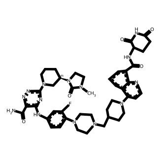 CN1CCN([C@@H]2CCCN(c3nnc(C(N)=O)c(Nc4ccc(N5CCN(CC6CCN(c7ccnc8c(C(=O)NC9CCC(=O)NC9=O)cccc78)CC6)CC5)c(F)c4)n3)C2)C1=O